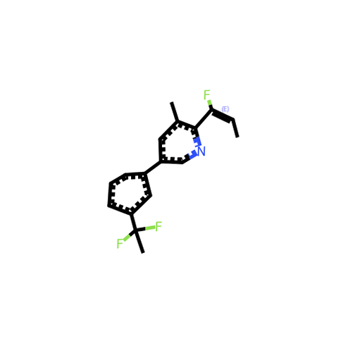 C/C=C(/F)c1ncc(-c2cccc(C(C)(F)F)c2)cc1C